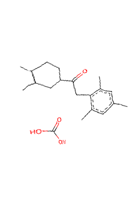 Cc1cc(C)c(CC(=O)C2CCC(C)C(C)C2)c(C)c1.O=C(O)O